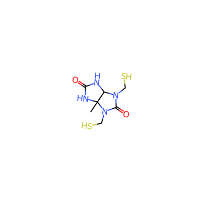 CC12NC(=O)NC1N(CS)C(=O)N2CS